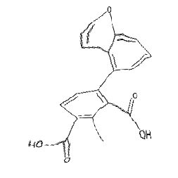 Cc1c(C(=O)O)ccc(-c2cccc3occc23)c1C(=O)O